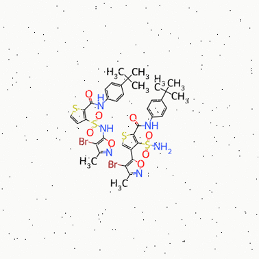 Cc1noc(-c2csc(C(=O)Nc3ccc(C(C)(C)C)cc3)c2S(N)(=O)=O)c1Br.Cc1noc(NS(=O)(=O)c2ccsc2C(=O)Nc2ccc(C(C)(C)C)cc2)c1Br